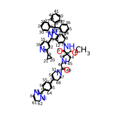 COC[C@@]1(C(=O)Nc2ccc3c(c2)c(-c2ccnc(C4CC4)c2)nn3C(c2ccccc2)(c2ccccc2)c2ccccc2)CCN(CC(=O)N2CC=C(c3ccc(-c4ncccn4)cc3)CC2)C1